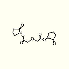 O=C(COCC(=O)ON1CCCC1=O)ON1CCCC1=O